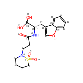 O=C(CCN1CCCCS1(=O)=O)N[C@@H](Cc1coc2ccccc12)B(O)O